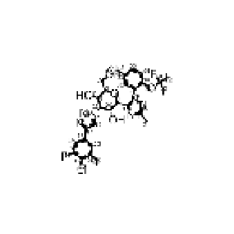 Cc1nc([C@@H]2O[C@H](CO)[C@H](O)[C@H](n3cc(-c4cc(F)c(Cl)c(F)c4)nn3)[C@H]2O)n(-c2cc(Cl)ccc2OC(F)(F)F)n1